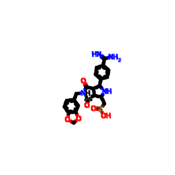 N=C(N)c1ccc(C2NC(CS(=O)O)C3C2C(=O)N(Cc2ccc4c(c2)OCO4)[AsH]3=O)cc1